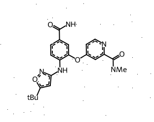 CNC(=O)c1cc(Oc2cc(C([NH])=O)ccc2Nc2cc(C(C)(C)C)on2)ccn1